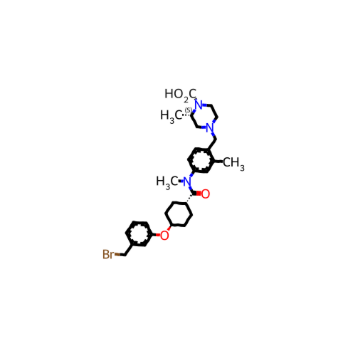 Cc1cc(N(C)C(=O)[C@H]2CC[C@H](Oc3cccc(CBr)c3)CC2)ccc1CN1CCN(C(=O)O)[C@@H](C)C1